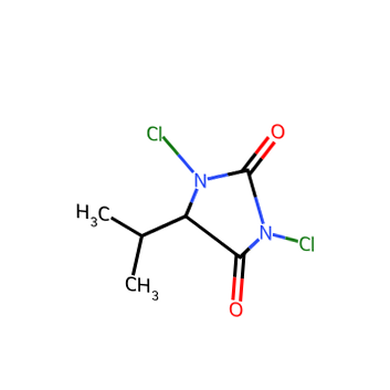 CC(C)C1C(=O)N(Cl)C(=O)N1Cl